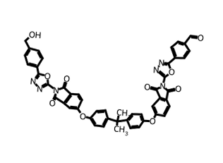 CC(C)(c1ccc(Oc2ccc3c(c2)C(=O)N(c2nnc(-c4ccc(C=O)cc4)o2)C3=O)cc1)c1ccc(Oc2ccc3c(c2)C(=O)N(c2nnc(-c4ccc(CO)cc4)o2)C3=O)cc1